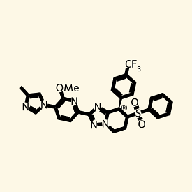 COc1nc(-c2nc3n(n2)CCC(S(=O)(=O)c2ccccc2)[C@@H]3c2ccc(C(F)(F)F)cc2)ccc1-n1cnc(C)c1